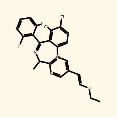 CCO/C=C/c1cnc2[n+](c1)-c1ccc(Cl)c(Cl)c1C(c1c(F)cccc1F)=NC2C